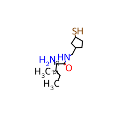 CC[C@H](C)[C@H](N)C(=O)NCC1CCC(S)C1